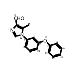 Cc1c(C=O)ncn1-c1cccc(Oc2ccccc2)c1